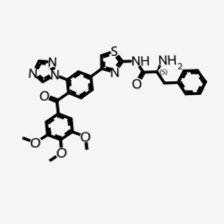 COc1cc(C(=O)c2ccc(-c3csc(NC(=O)[C@@H](N)Cc4ccccc4)n3)cc2-n2cncn2)cc(OC)c1OC